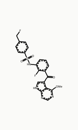 COc1ncnc2[nH]cc(C(=O)c3cccc(NS(=O)(=O)c4ccc(CF)cc4)c3F)c12